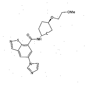 COCCO[C@H]1CC[C@H](NC(=O)c2cc(-n3ccnc3)cc3cnsc23)CC1